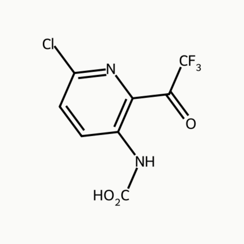 O=C(O)Nc1ccc(Cl)nc1C(=O)C(F)(F)F